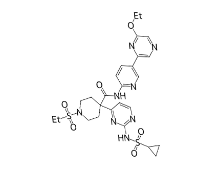 CCOc1cncc(-c2ccc(NC(=O)C3(c4ccnc(NS(=O)(=O)C5CC5)n4)CCN(S(=O)(=O)CC)CC3)nc2)n1